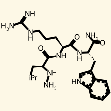 CC(C)C[C@H](NN)C(=O)N[C@@H](CCCNC(=N)N)C(=O)N[C@@H](Cc1c[nH]c2ccccc12)C(N)=O